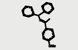 COc1ccc(C(C)=NC(c2ccccc2)c2ccccc2)cc1